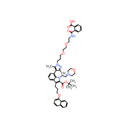 Cc1nn(CCCOCCOCCNC(=O)c2ccccc2C(=O)O)c(C)c1-c1cccc2c(CCCOc3cccc4ccccc34)c(C(=O)OC(C)(C)C)n(CCN3CCOCC3)c12